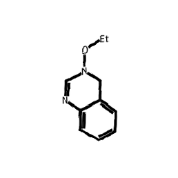 CCON1C=Nc2ccccc2C1